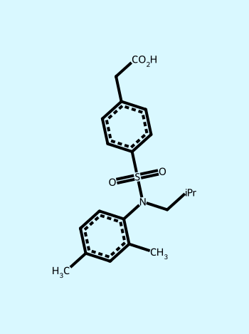 Cc1ccc(N(CC(C)C)S(=O)(=O)c2ccc(CC(=O)O)cc2)c(C)c1